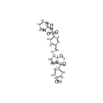 COC1C(CSc2ccc(S(=O)(=O)Nc3ncccn3)cc2)C=NN1C(=O)c1ccc(O)cc1